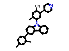 Cc1ccc(-c2ccc3c(c2)c2ccccc2n3-c2cc(-c3ccncc3)c(C#N)cc2C)c(C)c1